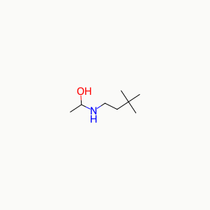 CC(O)NCCC(C)(C)C